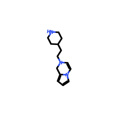 C1=Cn2cccc2CN1CCC1CCNCC1